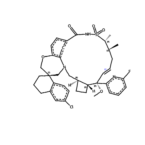 CO[C@@]1(c2cccc(F)n2)/C=C/C[C@H](C)[C@@H](C)S(=O)(=O)NC(=O)c2ccc3c(c2)N(C[C@@H]2CC[C@H]21)C[C@@]1(CCCc2cc(Cl)ccc21)CO3